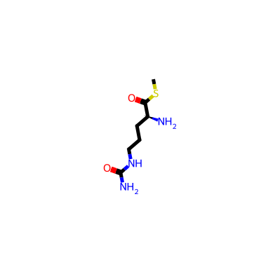 CSC(=O)[C@@H](N)CCCNC(N)=O